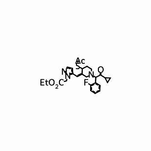 CCOC(=O)Cn1nccc1/C=C1/CN(C(C(=O)C2CC2)c2ccccc2F)CCC1SC(C)=O